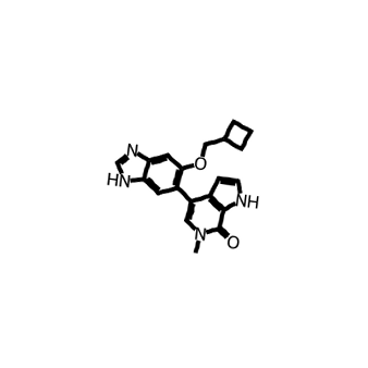 Cn1cc(-c2cc3[nH]cnc3cc2OCC2CCC2)c2cc[nH]c2c1=O